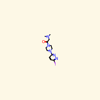 CN(C)CC(=O)N1CCN(c2ccc(I)nn2)CC1